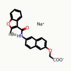 CCCCc1oc2ccccc2c1C(=O)Nc1ccc2cc(OCC(=O)[O-])ccc2c1.[Na+]